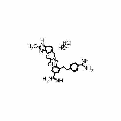 Cc1nc2cc(CN(Cc3ccc(C(=N)N)cc3CCc3ccc(C(=N)N)cc3)C(=O)O)ccc2[nH]1.Cl.Cl.Cl